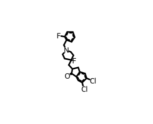 O=C1c2cc(Cl)c(Cl)cc2CC1CC1(F)CCN(Cc2ccccc2F)CC1